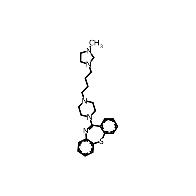 CN1CCN(CCCCN2CCN(C3=Nc4ccccc4Sc4ccccc43)CC2)C1